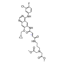 COC(=O)CN(CCCNC(=O)/C=C/C(=O)Nc1cc2c(Nc3ccc(F)c(Cl)c3)ncnc2cc1OCC1CC1)CC(=O)OC